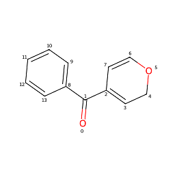 O=C(C1=CCOC=C1)c1ccccc1